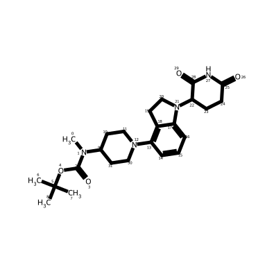 CN(C(=O)OC(C)(C)C)C1CCN(c2cccc3c2CCN3C2CCC(=O)NC2=O)CC1